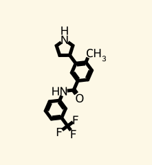 Cc1ccc(C(=O)Nc2cccc(C(F)(F)F)c2)cc1C1CCNC1